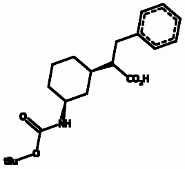 CC(C)(C)OC(=O)N[C@H]1CCC[C@@H](C(Cc2ccccc2)C(=O)O)C1